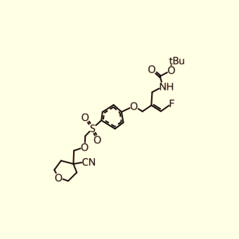 CC(C)(C)OC(=O)NC/C(=C\F)COc1ccc(S(=O)(=O)COCC2(C#N)CCOCC2)cc1